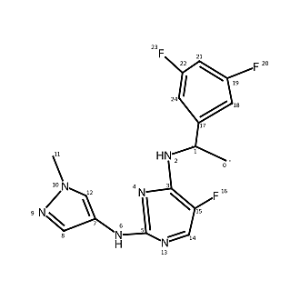 [CH2][C](Nc1nc(Nc2cnn(C)c2)ncc1F)c1cc(F)cc(F)c1